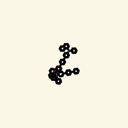 O=P(c1ccccc1)(c1ccc(-c2ccc(-c3ccc(N(c4ccccc4)c4cccc5ccccc45)cc3)cc2)cc1)C1(N(c2ccccc2)c2cccc3ccccc23)C=CC(c2ccc(-c3ccccc3)cc2)=CC1